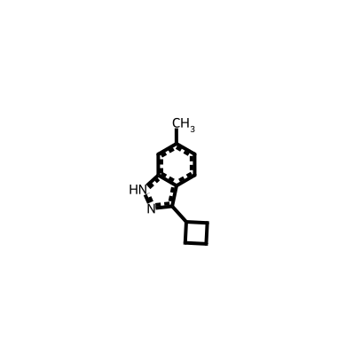 Cc1ccc2c(C3CCC3)n[nH]c2c1